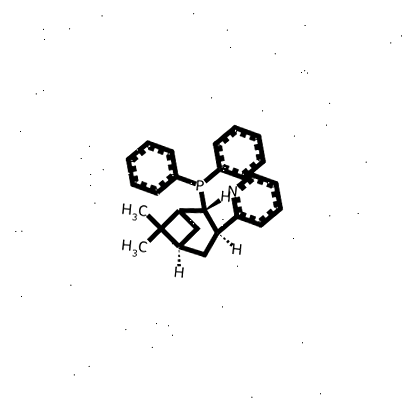 CC1(C)C2C[C@H]1C[C@H](c1ccccn1)[C@H]2P(c1ccccc1)c1ccccc1